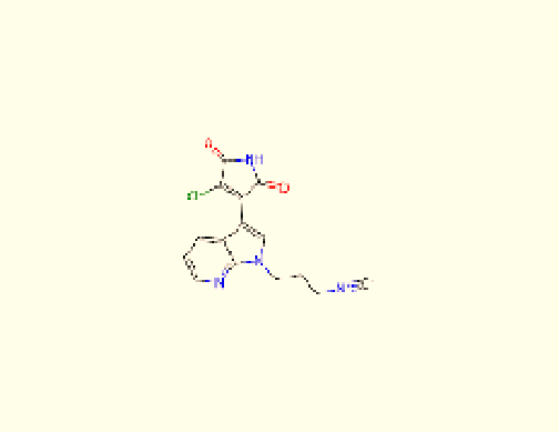 [C-]#[N+]CCCn1cc(C2=C(Cl)C(=O)NC2=O)c2cccnc21